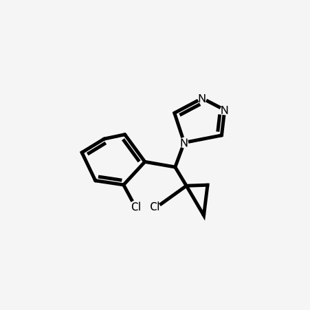 Clc1ccccc1C(n1cnnc1)C1(Cl)CC1